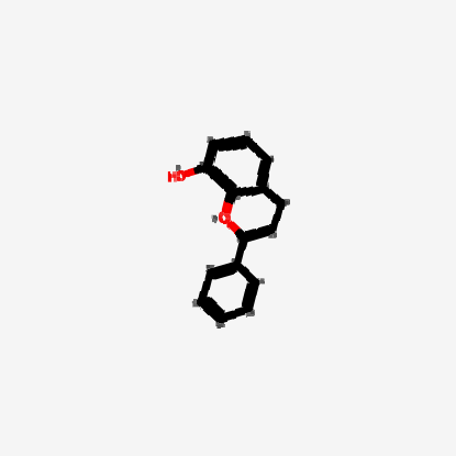 Oc1cccc2c1OC(c1ccccc1)=CC2